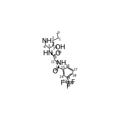 CCC[C@H](O)C(CN)NC(=O)CNC(=O)c1cccc(C(F)(F)F)c1